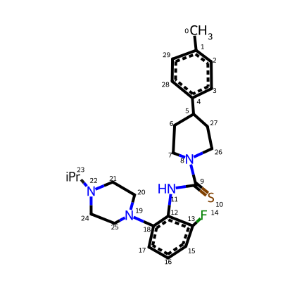 Cc1ccc(C2CCN(C(=S)Nc3c(F)cccc3N3CCN(C(C)C)CC3)CC2)cc1